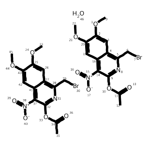 COc1cc2c(CBr)nc(OC(C)=O)c([N+](=O)[O-])c2cc1OC.COc1cc2c(CBr)nc(OC(C)=O)c([N+](=O)[O-])c2cc1OC.O